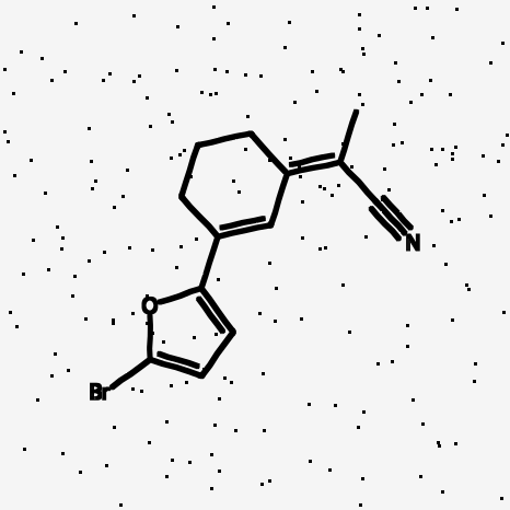 C/C(C#N)=C1/C=C(c2ccc(Br)o2)CCC1